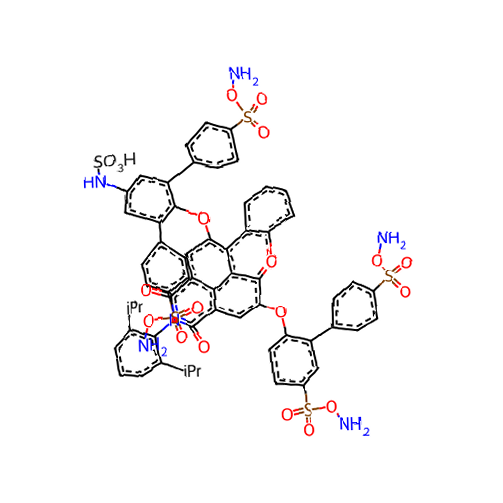 CC(C)c1cccc(C(C)C)c1-n1c(=O)c2cc(Oc3ccc(S(=O)(=O)ON)cc3-c3ccc(S(=O)(=O)ON)cc3)c3oc4ccccc4c4c(Oc5c(-c6ccc(S(=O)(=O)ON)cc6)cc(NS(=O)(=O)O)cc5-c5ccc(S(=O)(=O)ON)cc5)cc(c1=O)c2c34